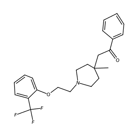 CC1(CC(=O)c2ccccc2)CCN(CCOc2ccccc2C(F)(F)F)CC1